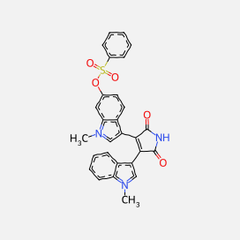 Cn1cc(C2=C(c3cn(C)c4cc(OS(=O)(=O)c5ccccc5)ccc34)C(=O)NC2=O)c2ccccc21